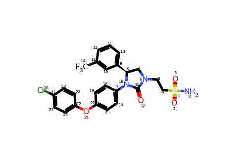 NS(=O)(=O)CCN1C[C@H](c2cccc(C(F)(F)F)c2)N(c2ccc(Oc3ccc(Cl)cc3)cc2)C1=O